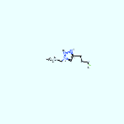 O=C(O)Cn1cc(CCCF)nn1